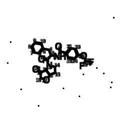 O=C(NC(Cc1ccccc1)C(=O)N1CCC2OCC(=O)C21)c1ccc(OC(F)F)cc1